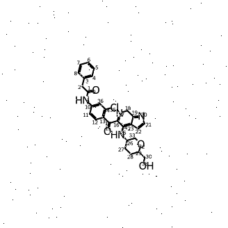 O=C(Cc1ccccc1)Nc1ccc(C(=O)C2=NCC3=NC=CC3=C2N[C@@H]2CC[C@H](CO)OC2)c(Cl)c1